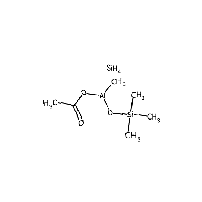 CC(=O)[O][Al]([CH3])[O][Si](C)(C)C.[SiH4]